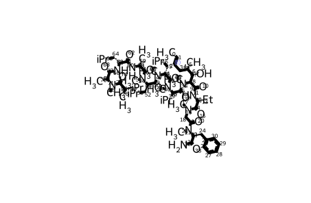 C/C=C/C[C@@H](C)[C@H](O)C(C(=O)N[C@H](CC)C(=O)N(C)CC(=O)N(C)[C@@H](Cc1ccccc1)C(N)=O)N(C)C(=O)[C@@H](C(C)C)N(C)C(=O)[C@@H](CC(C)C)N(C)C(=O)[C@@H](CC(C)C)N(C)C(=O)[C@H](C)NC(=O)[C@@H](CC(C)C)NC(=O)[C@H](C)N(C)C(=O)[C@H](C)C(C)C